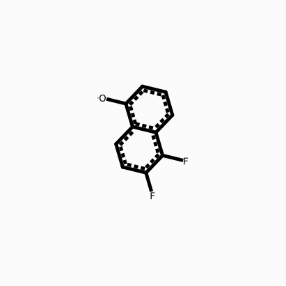 [O]c1cccc2c(F)c(F)ccc12